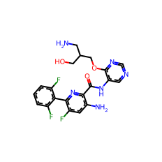 NCC(CO)COc1ncncc1NC(=O)c1nc(-c2c(F)cccc2F)c(F)cc1N